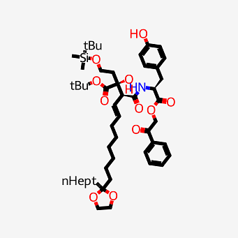 CCCCCCCC1(CCCCCC/C=C/[C@H](C(=O)N[C@@H](Cc2ccc(O)cc2)C(=O)OCC(=O)c2ccccc2)[C@@](O)(CCO[Si](C)(C)C(C)(C)C)C(=O)OC(C)(C)C)OCCO1